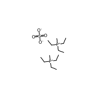 CC[P+](C)(CC)CC.CC[P+](C)(CC)CC.O=S(=O)([O-])[O-]